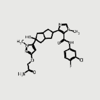 Cn1cnc(C2CC3CC(O)(c4cc(OCC(N)=O)nn4C)CC3C2)c1C(=O)Nc1ccc(F)c(Cl)c1